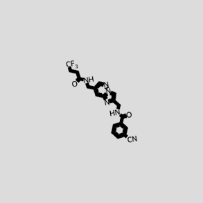 N#Cc1cccc(C(=O)NCc2cn3ncc(CNC(=O)CCC(F)(F)F)cc3n2)c1